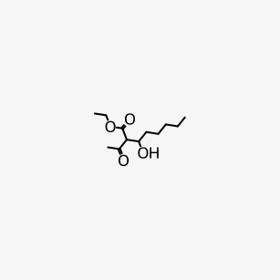 CCCCCC(O)C(C(C)=O)C(=O)OCC